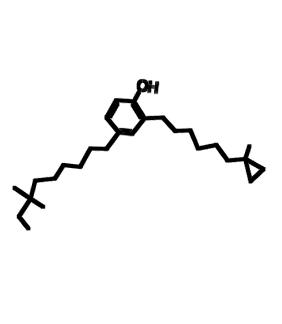 CCC(C)(C)CCCCCCc1ccc(O)c(CCCCCCC2(C)CC2)c1